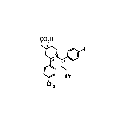 CC(C)CC[C@@H](c1ccc(I)cc1)N1CC[C@H](CC(=O)O)C[C@@H]1c1ccc(C(F)(F)F)cc1